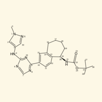 Cn1cc(Nc2ncnc(-c3ccc4c(c3)CCCC[C@H]4NC(=O)OC(C)(C)C)n2)cn1